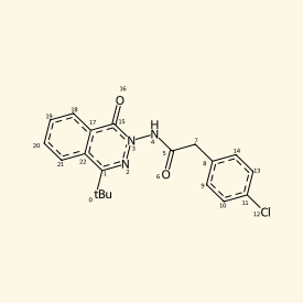 CC(C)(C)c1nn(NC(=O)Cc2ccc(Cl)cc2)c(=O)c2ccccc12